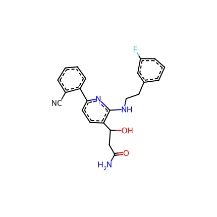 N#Cc1ccccc1-c1ccc(C(O)CC(N)=O)c(NCCc2cccc(F)c2)n1